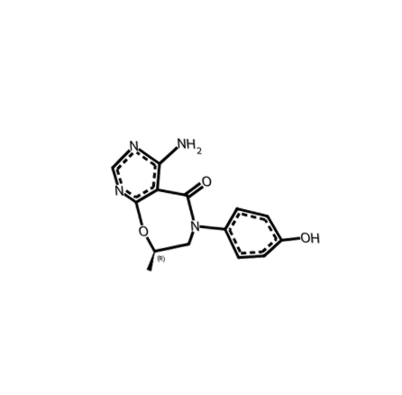 C[C@@H]1CN(c2ccc(O)cc2)C(=O)c2c(N)ncnc2O1